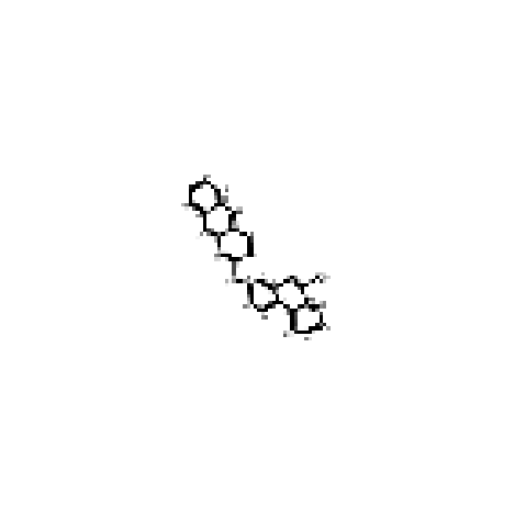 Sc1cc2cc(Sc3ccc4cc5ccccc5cc4c3)ccc2c2ccccc12